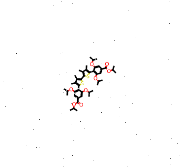 Cc1c(-c2sc(-c3c(OC(C)C)cc(C(=O)OC(C)C)cc3OC(C)C)c(C)c2C)sc(-c2c(OC(C)C)cc(C(=O)OC(C)C)cc2OC(C)C)c1C